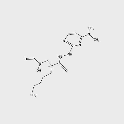 CCCCC[C@H](CN(O)C=O)C(=O)NNc1nccc(N(C)C)n1